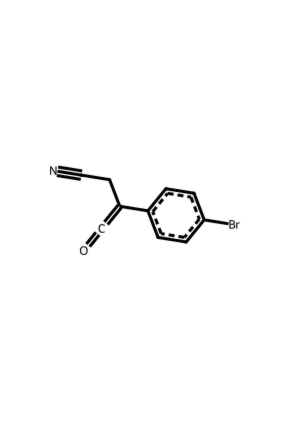 N#CCC(=C=O)c1ccc(Br)cc1